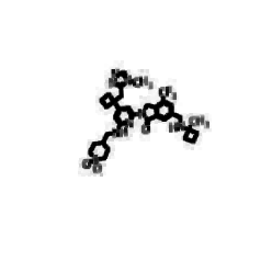 Cn1cnnc1CC1(c2cc(NCC3CCS(=O)(=O)CC3)nc(N3Cc4c(cc(CNC5(C)CCC5)cc4C(F)(F)F)C3=O)c2)CCC1